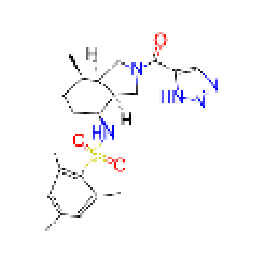 Cc1cc(C)c(S(=O)(=O)N[C@H]2CC[C@@H](C)[C@H]3CN(C(=O)c4cnn[nH]4)C[C@H]32)c(C)c1